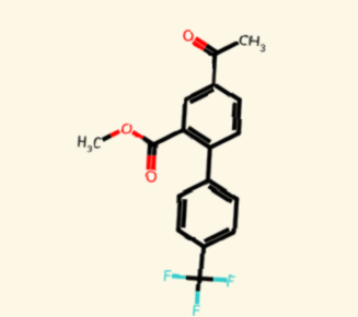 COC(=O)c1cc(C(C)=O)ccc1-c1ccc(C(F)(F)F)cc1